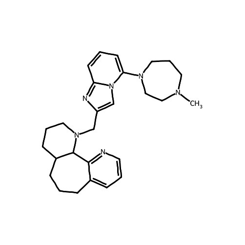 CN1CCCN(c2cccc3nc(CN4CCCC5CCCc6cccnc6C54)cn23)CC1